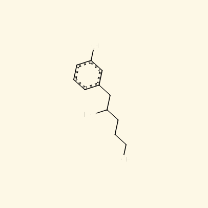 CCCCC(O)Cc1cccc(O)c1